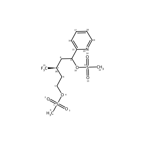 CS(=O)(=O)OCC[C@H](CC(OS(C)(=O)=O)c1ccccn1)C(F)(F)F